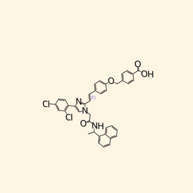 CC(NC(=O)Cn1cc(-c2ccc(Cl)cc2Cl)nc1/C=C/c1ccc(OCc2ccc(C(=O)O)cc2)cc1)c1cccc2ccccc12